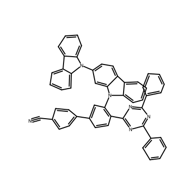 N#Cc1ccc(-c2ccc(-c3nc(-c4ccccc4)nc(-c4ccccc4)n3)c(-n3c4ccccc4c4ccc(-n5c6ccccc6c6ccccc65)cc43)c2)cc1